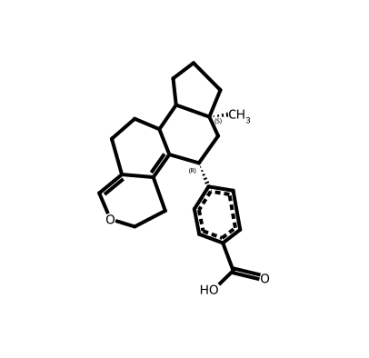 C[C@@]12CCCC1C1CCC3=COCCC3=C1[C@@H](c1ccc(C(=O)O)cc1)C2